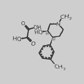 Cc1cccc([C@@H]2CCN(C)C[C@@H]2O)c1.O=C(O)C(=O)O